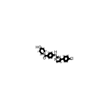 O=C(c1ccc(Nc2nccc(-c3ccc(Cl)cc3)n2)cc1)N1CCC(O)CC1